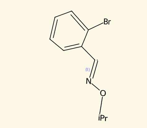 CC(C)O/N=[C]/c1ccccc1Br